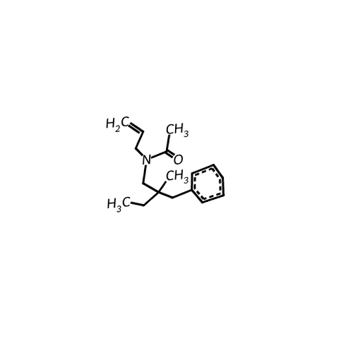 C=CCN(CC(C)(CC)Cc1ccccc1)C(C)=O